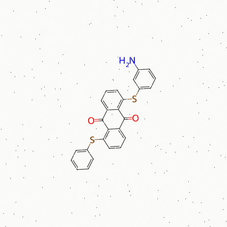 Nc1cccc(Sc2cccc3c2C(=O)c2cccc(Sc4ccccc4)c2C3=O)c1